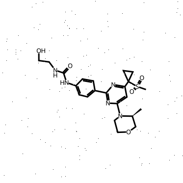 C[C@H]1COCCN1c1cc(C2(S(C)(=O)=O)CC2)nc(-c2ccc(NC(=O)NCCO)cc2)n1